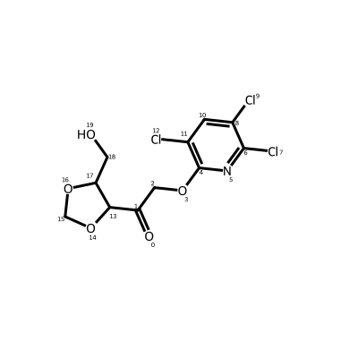 O=C(COc1nc(Cl)c(Cl)cc1Cl)C1OCOC1CO